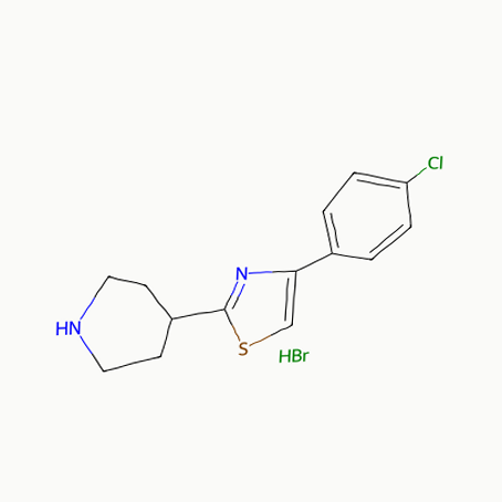 Br.Clc1ccc(-c2csc(C3CCNCC3)n2)cc1